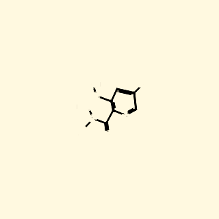 COc1cc(Br)cnc1C(=O)N(C)C